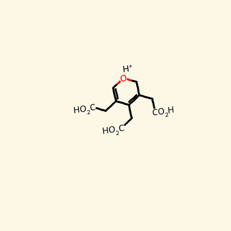 O=C(O)CC1=COCC(CC(=O)O)=C1CC(=O)O.[H+]